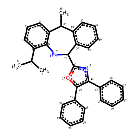 CC(C)c1cccc2c1NC(c1nc(-c3ccccc3)c(-c3ccccc3)o1)c1ccccc1C2C